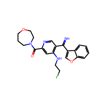 N=C(c1cnc(C(=O)N2CCCOCC2)cc1NCCF)c1coc2ccccc12